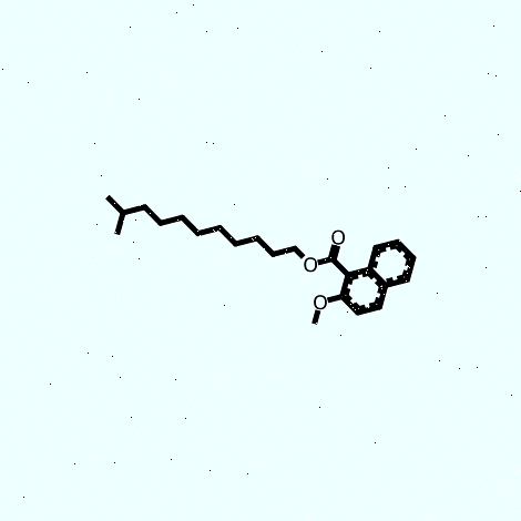 COc1ccc2ccccc2c1C(=O)OCCCCCCCCCC(C)C